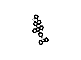 c1ccc2c(c1)Oc1ccc(-c3c4ccccc4c(-c4ccc(-n5c6ccccc6c6ccccc65)cc4)c4ccccc34)c3cccc-2c13